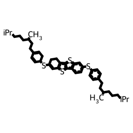 CC(C)CCCC(C)CCC1=CCC(SC2=Cc3sc4c(sc5cc(Sc6ccc(CCC(C)CCCC(C)C)cc6)ccc54)c3CC2)C=C1